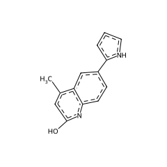 Cc1cc(O)nc2ccc(-c3ccc[nH]3)cc12